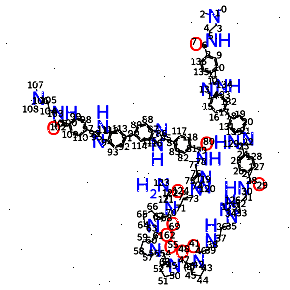 CN(C)CCNC(=O)c1ccc(-c2nc3ccc(-c4ccc5nc(-c6ccc(C(=O)NCc7cn(CCCNCC(=O)N8CCC[C@H]8C(=O)N8CCC[C@H]8C(=O)N8CCCC8C(=O)N8CCC[C@H]8C(=O)N(CCCn8cc(CNC(=O)c9ccc(-c%10nc%11ccc(-c%12ccc%13nc(-c%14ccc(C(=O)NCCN(C)C)cc%14)[nH]c%13c%12)cc%11[nH]%10)cc9)nn8)CC(N)=O)nn7)cc6)[nH]c5c4)cc3[nH]2)cc1